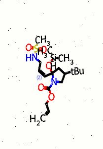 C=CCOC(=O)N1CC(C(C)(C)C)CC1(/C=C\CNS(C)(=O)=O)O[SiH](C)C